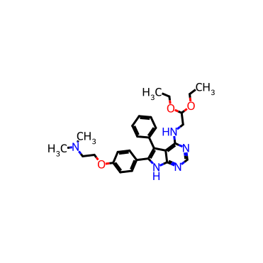 CCOC(CNc1ncnc2[nH]c(-c3ccc(OCCN(C)C)cc3)c(-c3ccccc3)c12)OCC